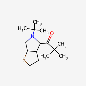 CC(C)(C)C(=O)C1C2CCSC2CN1C(C)(C)C